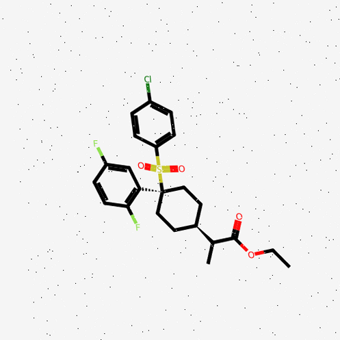 CCOC(=O)C(C)[C@H]1CC[C@@](c2cc(F)ccc2F)(S(=O)(=O)c2ccc(Cl)cc2)CC1